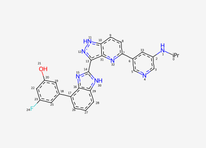 CC(C)Nc1cncc(-c2ccc3[nH]nc(-c4nc5c(-c6cc(O)cc(F)c6)cccc5[nH]4)c3n2)c1